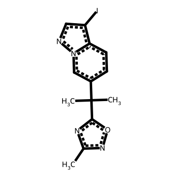 Cc1noc(C(C)(C)c2ccc3c(I)cnn3c2)n1